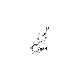 O=C=C1C=CC(c2ccccc2S)=CC1